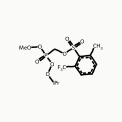 COOP(=O)(COS(=O)(=O)c1c(C)cccc1C(F)(F)F)OOC(C)C